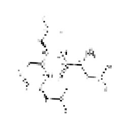 CC(C)C[C@@H]([C]=O)NC(=O)[C@@H](CC(C)C)NC(=O)[C@H](N)CC(C)C